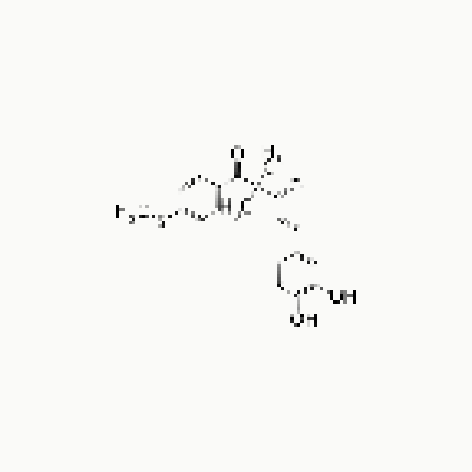 CSc1ccc(C(=O)C(C)(C)C(=O)C=Cc2ccc(O)c(O)c2)cc1